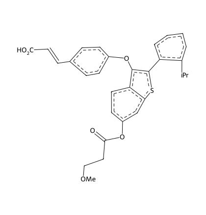 COCCC(=O)Oc1ccc2c(Oc3ccc(/C=C/C(=O)O)cc3)c(-c3ccccc3C(C)C)sc2c1